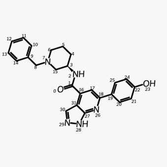 O=C(N[C@@H]1CCCN(Cc2ccccc2)C1)c1cc(-c2ccc(O)cc2)nc2[nH]ncc12